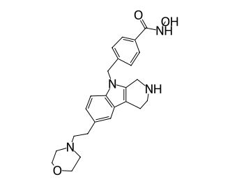 O=C(NO)c1ccc(Cn2c3c(c4cc(CCN5CCOCC5)ccc42)CCNC3)cc1